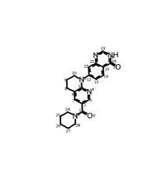 O=C(c1cnc2c(c1)CCCN2c1ccc2c(=O)[nH]cnc2c1)N1CCCCC1